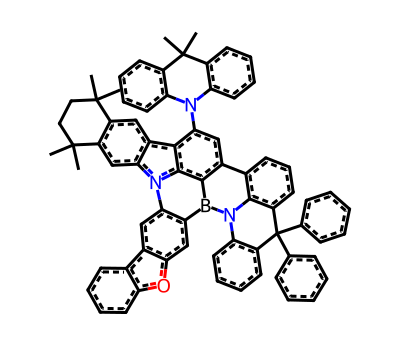 CC1(C)CCC(C)(C)c2cc3c(cc21)c1c(N2c4ccccc4C(C)(C)c4ccccc42)cc2c4c1n3-c1cc3c(cc1B4N1c4ccccc4C(c4ccccc4)(c4ccccc4)c4cccc-2c41)oc1ccccc13